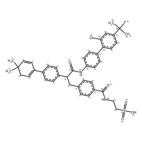 CC1(C)C=CC(c2ccc(C(Cc3ccc(C(=O)NCCS(=O)(=O)O)cc3)C(=O)Nc3ccc(-c4ccc(C(C)(C)F)cc4Cl)cc3)cc2)=CC1